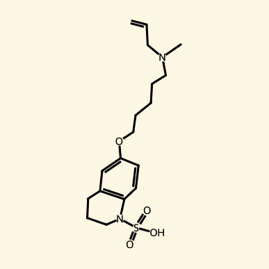 C=CCN(C)CCCCCOc1ccc2c(c1)CCCN2S(=O)(=O)O